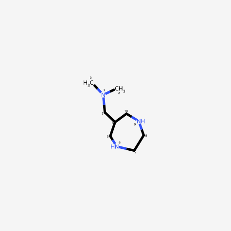 CN(C)CC1CNCCNC1